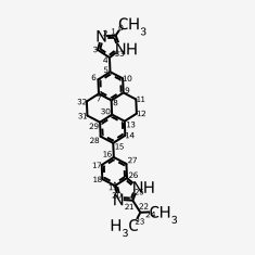 Cc1ncc(-c2cc3c4c(c2)CCc2cc(-c5ccc6nc(C(C)C)[nH]c6c5)cc(c2-4)CC3)[nH]1